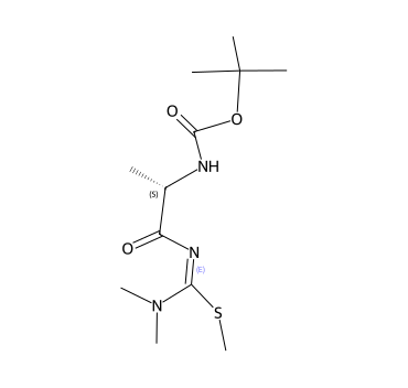 CS/C(=N/C(=O)[C@H](C)NC(=O)OC(C)(C)C)N(C)C